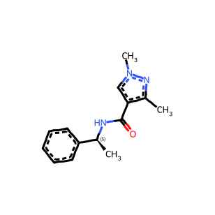 Cc1nn(C)cc1C(=O)N[C@@H](C)c1ccccc1